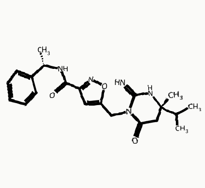 CC(C)[C@]1(C)CC(=O)N(Cc2cc(C(=O)N[C@@H](C)c3ccccc3)no2)C(=N)N1